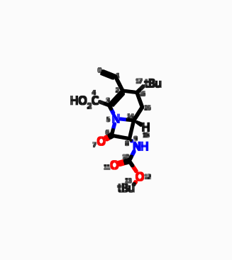 C=CC1=C(C(=O)O)N2C(=O)[C@@H](NC(=O)OC(C)(C)C)[C@H]2CC1C(C)(C)C